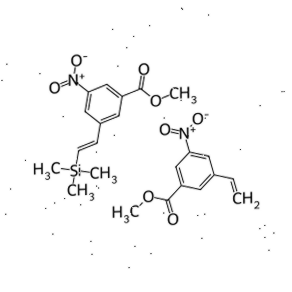 C=Cc1cc(C(=O)OC)cc([N+](=O)[O-])c1.COC(=O)c1cc(/C=C/[Si](C)(C)C)cc([N+](=O)[O-])c1